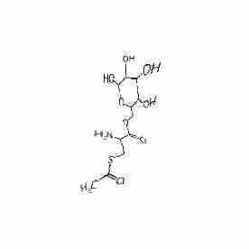 CC(=O)SCC(N)C(=O)OCC1OC(O)C(O)C(O)C1O